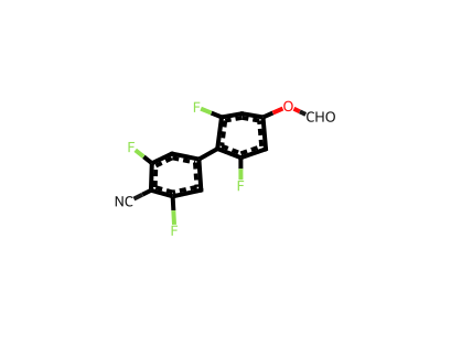 N#Cc1c(F)cc(-c2c(F)cc(OC=O)cc2F)cc1F